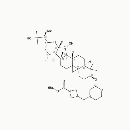 CC(=O)O[C@@H]([C@H]1C[C@@H](C)[C@H]2[C@H](O1)[C@H](O)[C@@]1(C)[C@@H]3CC[C@H]4C(C)(C)[C@@H](O[C@H]5CN(CC6CN(C(=O)OC(C)(C)C)C6)CCO5)CC[C@@]45CC35CC[C@]21C)C(C)(C)O